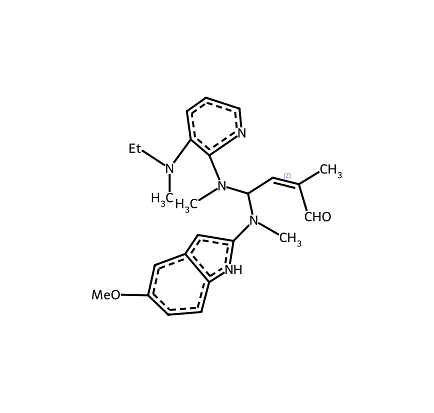 CCN(C)c1cccnc1N(C)C(/C=C(/C)C=O)N(C)c1cc2cc(OC)ccc2[nH]1